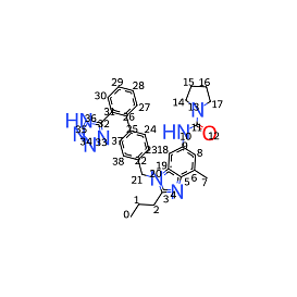 CCCc1nc2c(C)cc(NC(=O)N3CCCC3)cc2n1Cc1ccc(-c2ccccc2-c2nnn[nH]2)cc1